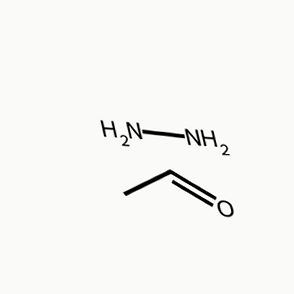 CC=O.NN